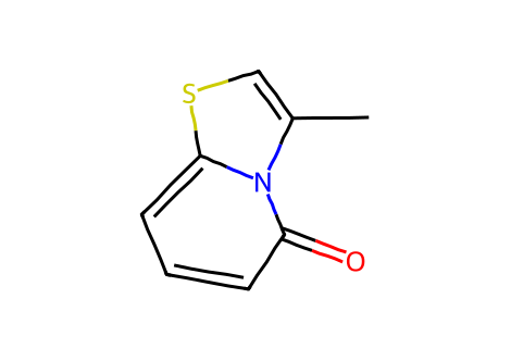 Cc1csc2cccc(=O)n12